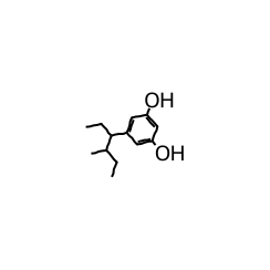 CCC(C)C(CC)c1cc(O)cc(O)c1